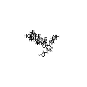 COCCN1CCC(N2CC3(CNC3)C2)CC1.O=C(O)C(F)(F)F.O=C(O)C(F)(F)F.O=C(O)C(F)(F)F